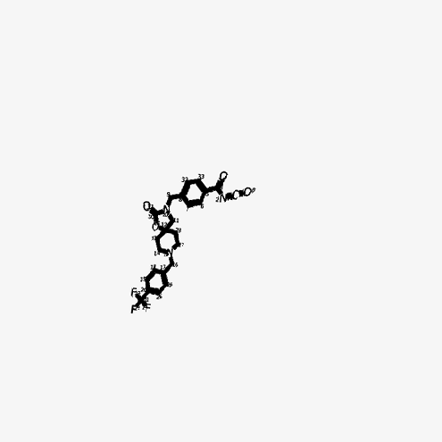 O=C=NC(=O)c1ccc(CN2CC3(CCN(Cc4ccc(C(F)(F)F)cc4)CC3)OC2=O)cc1